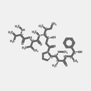 CC[C@H](C)[C@H]([C@H](O)CC(=O)N1CCC[C@H]1[C@H](OC)[C@@H](C)C(=O)N[C@H](C)[C@@H](O)c1ccccc1)N(C)C(=O)[C@@H](NC(=O)[C@@H](NC)C(C)C)C(C)C